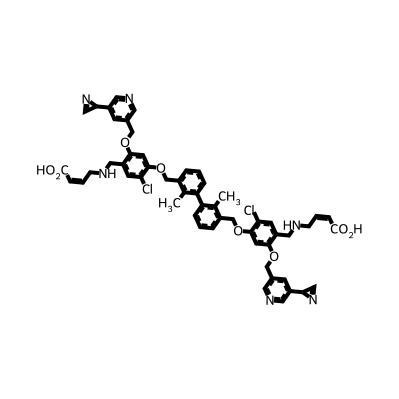 Cc1c(COc2cc(OCc3cncc(C4C=N4)c3)c(CNC/C=C\C(=O)O)cc2Cl)cccc1-c1cccc(COc2cc(OCc3cncc(C4C=N4)c3)c(CNC/C=C\C(=O)O)cc2Cl)c1C